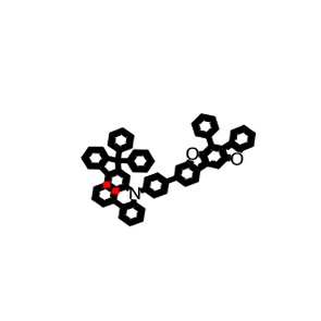 c1ccc(-c2ccccc2N(c2ccc(-c3ccc4c(c3)oc3c(-c5ccccc5)c5c(cc34)oc3ccccc35)cc2)c2ccc3c(c2)C(c2ccccc2)(c2ccccc2)c2ccccc2-3)cc1